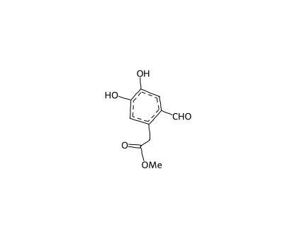 COC(=O)Cc1cc(O)c(O)cc1C=O